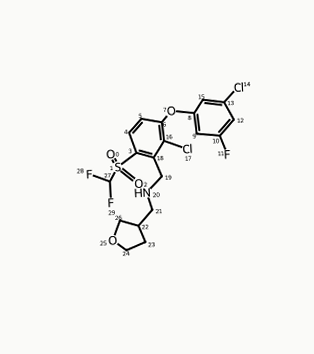 O=S(=O)(c1ccc(Oc2cc(F)cc(Cl)c2)c(Cl)c1CNCC1CCOC1)C(F)F